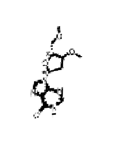 COC[C@H]1O[C@@H](n2cnc3c(=O)[nH]cnc32)CC1OC